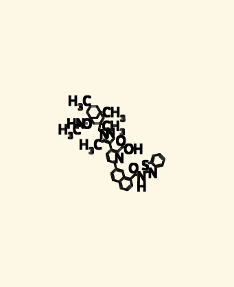 CNOC12CC(C)CC(C)(CC(C)(Cn3ncc(-c4ccc(-c5ccc6cccc(C(=O)Nc7nc8ccccc8s7)c6c5)nc4C(=O)O)c3C)C1)C2